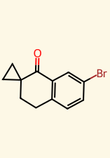 O=C1c2cc(Br)ccc2CCC12CC2